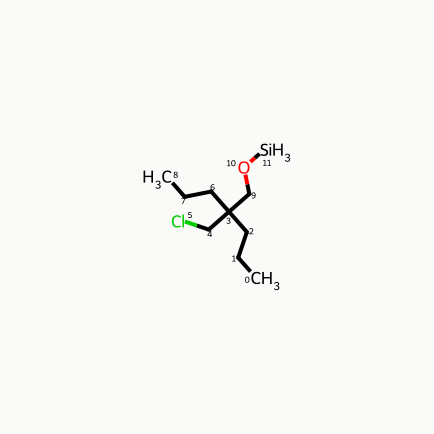 CCCC(CCl)(CCC)CO[SiH3]